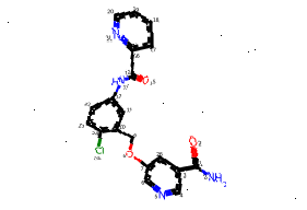 NC(=O)c1cncc(OCc2cc(NC(=O)c3ccccn3)ccc2Cl)c1